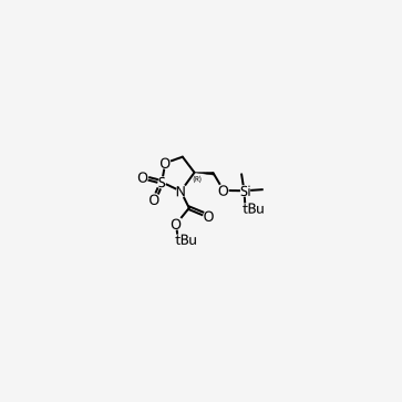 CC(C)(C)OC(=O)N1[C@H](CO[Si](C)(C)C(C)(C)C)COS1(=O)=O